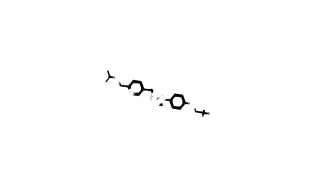 CC(C)OCc1ccc(C(=O)NS(=O)(=O)c2ccc(OCC(F)(F)F)cc2)cn1